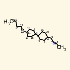 C/C=C/CC1CCC(C2CCC(OCCCC)CC2)CC1